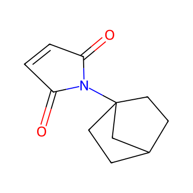 O=C1C=CC(=O)N1C12CCC(CC1)C2